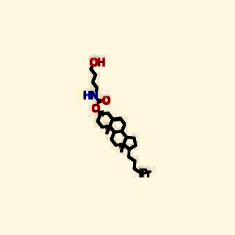 CC(C)CCCC1CCC2C3CC=C4C[C@H](OC(=O)NCCCCO)CC[C@@]4(C)C3CC[C@@]12C